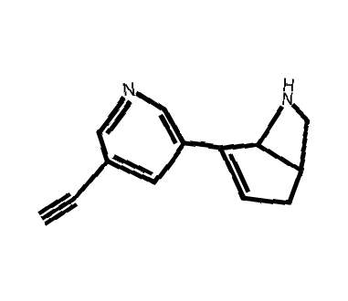 C#Cc1cncc(C2=CCC3CNC23)c1